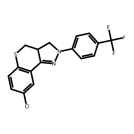 FC(F)(F)c1ccc(N2CC3CSc4ccc(Cl)cc4C3=N2)cc1